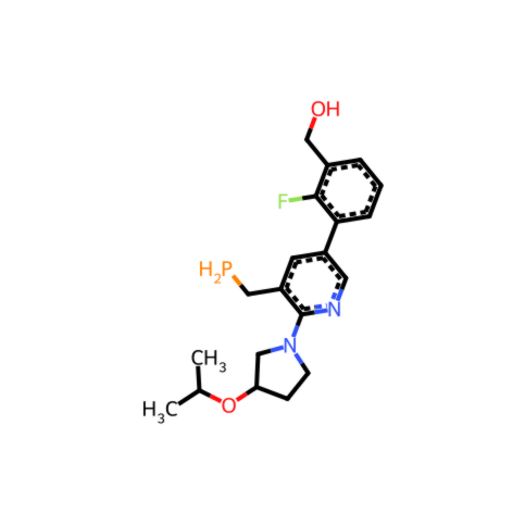 CC(C)OC1CCN(c2ncc(-c3cccc(CO)c3F)cc2CP)C1